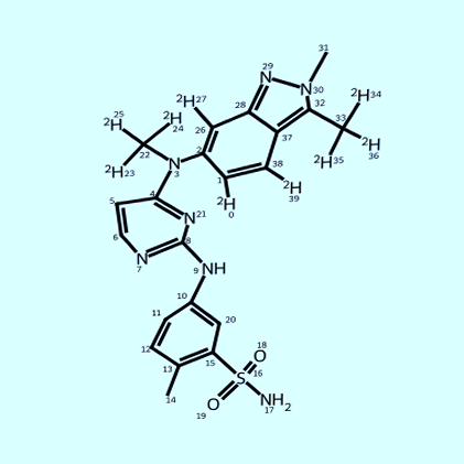 [2H]c1c(N(c2ccnc(Nc3ccc(C)c(S(N)(=O)=O)c3)n2)C([2H])([2H])[2H])c([2H])c2nn(C)c(C([2H])([2H])[2H])c2c1[2H]